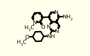 COC1CCC(Nc2ncc3c(N)ncc(-c4cccn(C)c4=O)c3n2)CC1